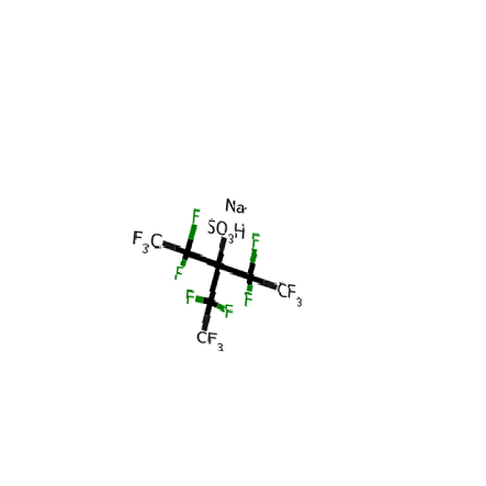 O=S(=O)(O)C(C(F)(F)C(F)(F)F)(C(F)(F)C(F)(F)F)C(F)(F)C(F)(F)F.[Na]